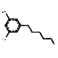 Oc1cc(O)cc(CCCCCF)c1